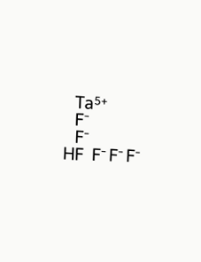 F.[F-].[F-].[F-].[F-].[F-].[Ta+5]